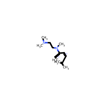 C=C(C)/C=C\C(=C/C)N(C)CCN(C)C